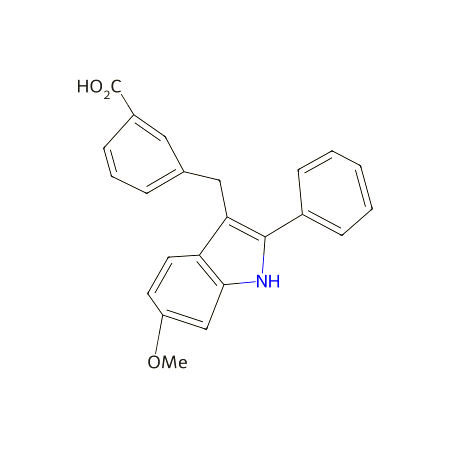 COc1ccc2c(Cc3cccc(C(=O)O)c3)c(-c3ccccc3)[nH]c2c1